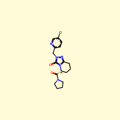 O=C([C@H]1CCCc2nn(Cc3ccc(Cl)cn3)c(=O)n21)N1CCCC1